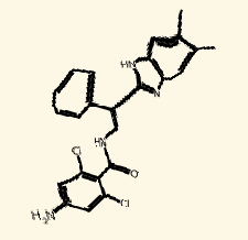 Cc1cc2nc(C(CNC(=O)c3c(Cl)cc(N)cc3Cl)c3ccccc3)[nH]c2cc1C